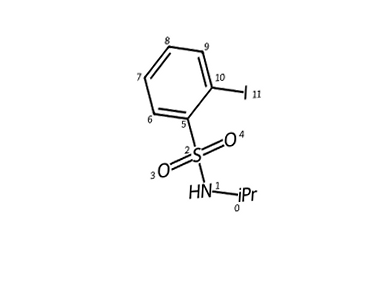 CC(C)NS(=O)(=O)c1ccccc1I